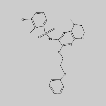 Cc1c(Cl)cccc1S(=O)(=O)Nc1nc2c(nc1OCCOc1ccccc1)OCCN2C